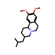 COc1cc2c(cc1OC)C1CCC(CC(C)C)CN1CC2